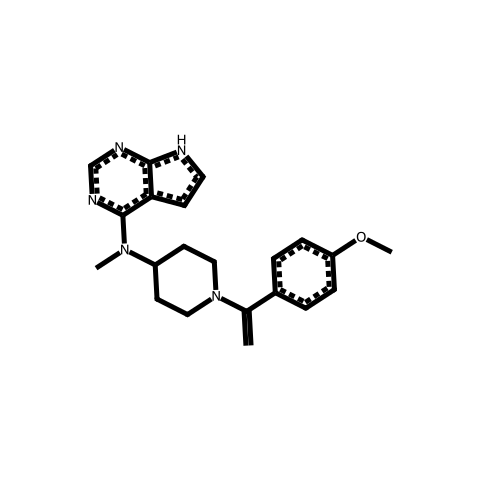 C=C(c1ccc(OC)cc1)N1CCC(N(C)c2ncnc3[nH]ccc23)CC1